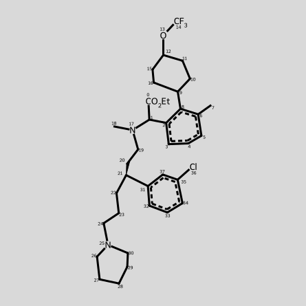 CCOC(=O)C(c1cccc(C)c1C1CCC(OC(F)(F)F)CC1)N(C)CC[C@H](CCCN1CCCCC1)c1cccc(Cl)c1